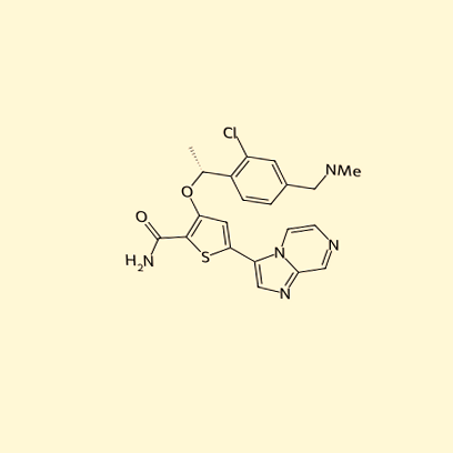 CNCc1ccc([C@@H](C)Oc2cc(-c3cnc4cnccn34)sc2C(N)=O)c(Cl)c1